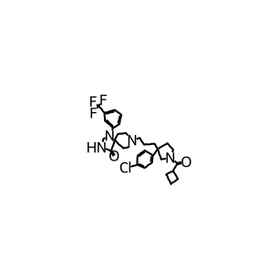 O=C(C1CCC1)N1CCC(CCCN2CCC3(CC2)C(=O)NCN3c2cccc(C(F)(F)F)c2)(c2ccc(Cl)cc2)C1